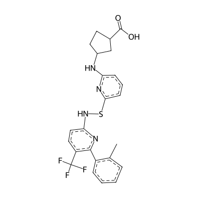 Cc1ccccc1-c1nc(NSc2cccc(NC3CCC(C(=O)O)C3)n2)ccc1C(F)(F)F